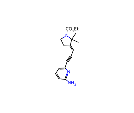 CCOC(=O)N1CC/C(=C\C#Cc2cccc(N)n2)C1(C)C